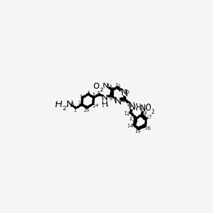 NCC1CCC(CNc2nc(NCc3ccccc3[N+](=O)[O-])ncc2[N+](=O)[O-])CC1